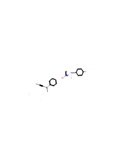 CC#CC(CC(=O)O)c1ccc(OCc2csc(-c3ccc(Cl)cc3)n2)cc1